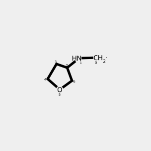 [CH2]NC1CCOC1